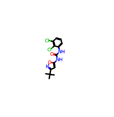 CC(C)(C)c1cc(NC(=O)Nc2cccc(Cl)c2Cl)on1